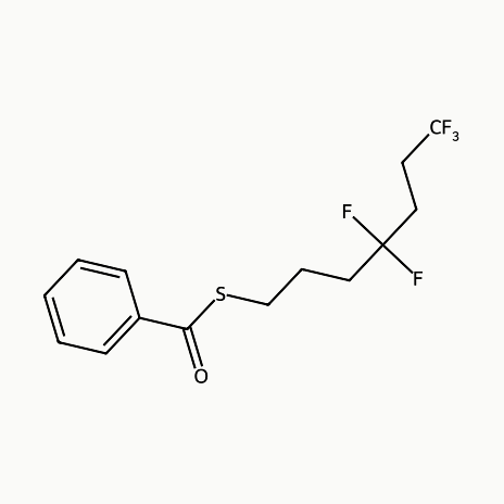 O=C(SCCCC(F)(F)CCC(F)(F)F)c1ccccc1